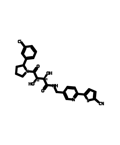 N#Cc1ccc(-c2ccc(CNC(=O)[C@H](O)[C@@H](O)C(=O)N3CCCC3c3cccc(Cl)c3)cn2)s1